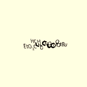 C#C[C@@H](CNC(=O)[C@@H]1CCCN(C(=O)/C=C\C2CCN(C(=O)OC(C)(C)C)CC2)C1)C(=O)OCC